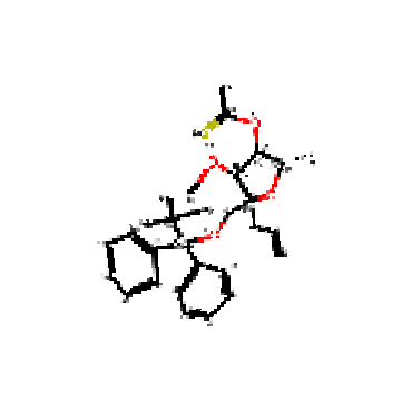 C=CC[C@]1(CO[Si](c2ccccc2)(c2ccccc2)C(C)(C)C)O[C@@H](C)[C@H](OC(C)=S)[C@@H]1OC